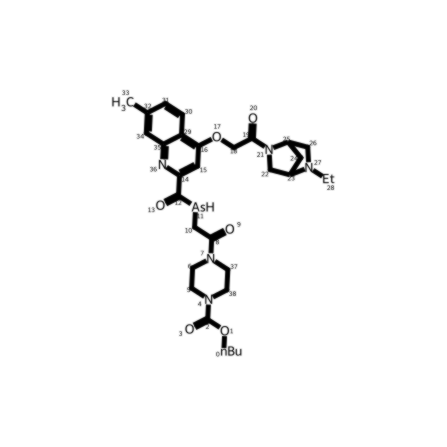 CCCCOC(=O)N1CCN(C(=O)C[AsH]C(=O)c2cc(OCC(=O)N3CC4CC3CN4CC)c3ccc(C)cc3n2)CC1